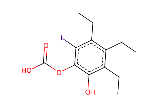 CCc1c(O)c(OC(=O)O)c(I)c(CC)c1CC